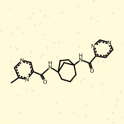 Cc1cncc(C(=O)NC23CCCC(NC(=O)c4ccncn4)(CC2)C3)n1